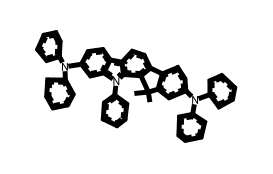 CC1(C)c2cc(N(c3ccccc3)c3ccccc3)ccc2-c2ccc3c4ccc(N(c5ccccc5)c5ccccc5)cc4n(-c4ccccc4)c3c21